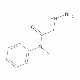 CN(C(=O)CNN)c1ccccc1